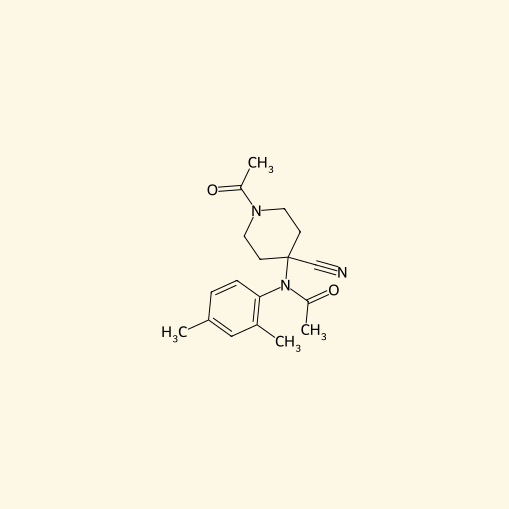 CC(=O)N1CCC(C#N)(N(C(C)=O)c2ccc(C)cc2C)CC1